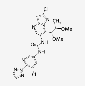 CO[C@H](c1c(NC(=O)Nc2cnc(-n3nccn3)c(Cl)c2)cnc2cc(Cl)nn12)[C@@H](C)OC